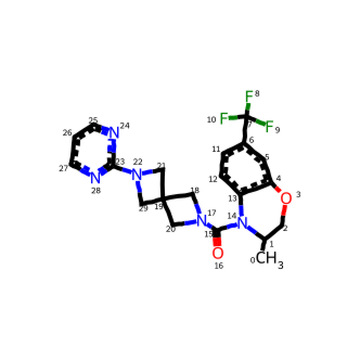 CC1COc2cc(C(F)(F)F)ccc2N1C(=O)N1CC2(C1)CN(c1ncccn1)C2